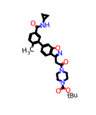 Cc1ccc(C(=O)NC2CC2)cc1-c1ccc2c(CC(=O)N3CCN(C(=O)OC(C)(C)C)CC3)noc2c1